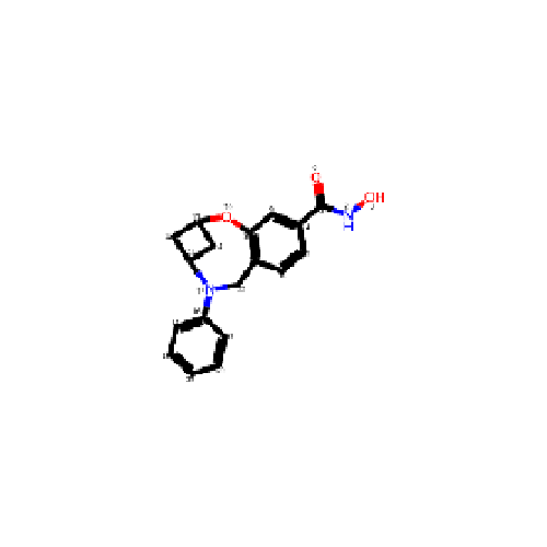 O=C(NO)c1ccc2c(c1)OC1CC(C1)N(c1ccccc1)C2